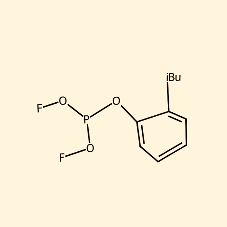 CCC(C)c1ccccc1OP(OF)OF